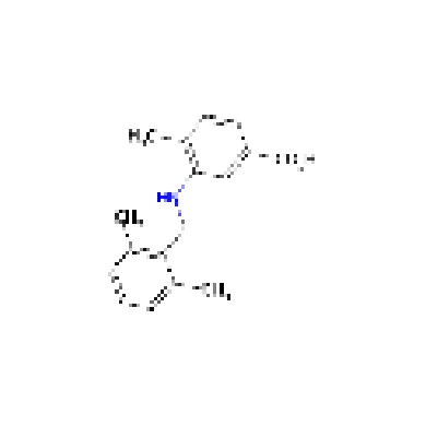 Cc1ccc(C(=O)O)cc1NCc1c(C)cccc1C